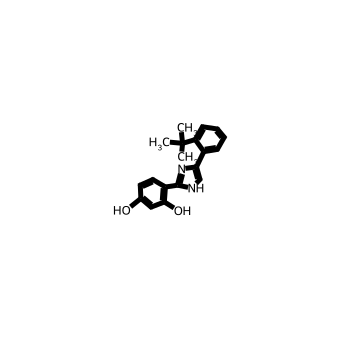 CC(C)(C)c1ccccc1-c1c[nH]c(-c2ccc(O)cc2O)n1